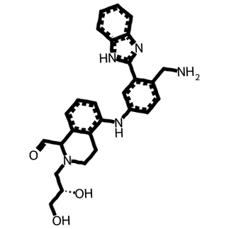 NCc1ccc(Nc2cccc3c2CCN(C[C@H](O)CO)C3C=O)cc1-c1nc2ccccc2[nH]1